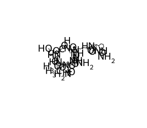 CC[C@H](C)[C@@H]1NC(=O)[C@H](Cc2ccc(O)cc2)NC(=O)CCC(=O)NC[C@@H](C(=O)NCCCCCC(=O)N[C@@H](CC2CCCCC2)C(=O)NCC(N)=O)NC(=O)[C@H](CC(N)=O)NC(=O)[C@H](CCC(N)=O)NC1=O